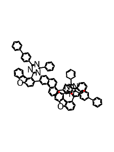 C1=CCC(c2nc(-c3ccc(-c4ccccc4)cc3)nc(-c3cccc4oc5cccc(-c6cc7ccccc7c7ccc(-c8cccc9c8ccc8ccc(-c%10ccc%11oc%12ccccc%12c%11c%10-c%10nc(-c%11ccccc%11)nc(-c%11ccc(-c%12ccccc%12)cc%11)n%10)cc89)cc67)c5c34)n2)C=C1